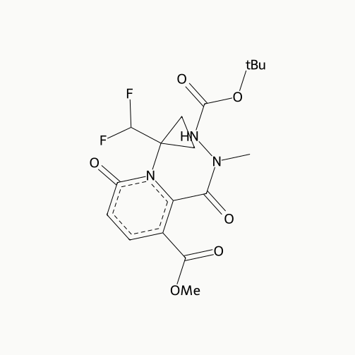 COC(=O)c1ccc(=O)n(C2(C(F)F)CC2)c1C(=O)N(C)NC(=O)OC(C)(C)C